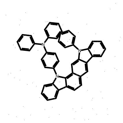 c1ccc(N(c2ccccc2)c2ccc(-n3c4ccccc4c4ccc5cc6c7ccccc7n(-c7ccccc7)c6cc5c43)cc2)cc1